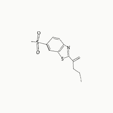 C=C(CCC)c1nc2ccc(S(C)(=O)=O)cc2s1